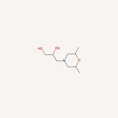 CC1CN(CC(O)CO)CC(C)O1